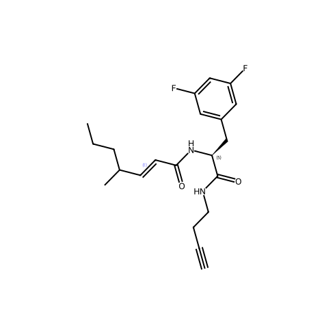 C#CCCNC(=O)[C@H](Cc1cc(F)cc(F)c1)NC(=O)/C=C/C(C)CCC